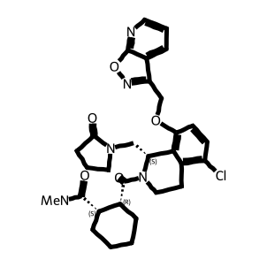 CNC(=O)[C@H]1CCCC[C@H]1C(=O)N1CCc2c(Cl)ccc(OCc3noc4ncccc34)c2[C@H]1CN1CCCC1=O